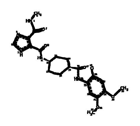 CNC(=O)c1nc[nH]c1C(=O)N[C@H]1CC[C@H](C(=O)Nc2cc(OC)c(OC)cc2Cl)CC1